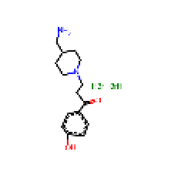 Br.Br.NCC1CCN(CCC(=O)c2ccc(O)cc2)CC1